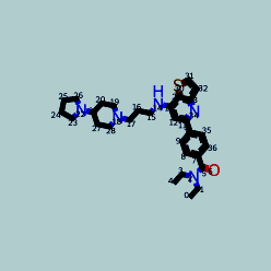 CCN(CC)C(=O)c1ccc(-c2cc(NCCCN3CCC(N4CCCC4)CC3)c3sccc3n2)cc1